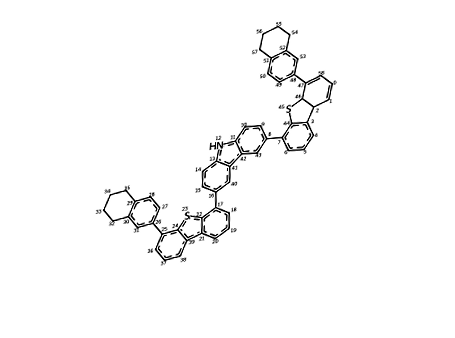 C1=CC2c3cccc(-c4ccc5[nH]c6ccc(-c7cccc8c7sc7c(-c9ccc%10c(c9)CCCC%10)cccc78)cc6c5c4)c3SC2C(c2ccc3c(c2)CCCC3)=C1